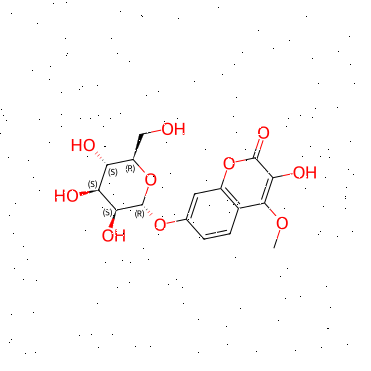 COc1c(O)c(=O)oc2cc(O[C@H]3O[C@H](CO)[C@@H](O)[C@H](O)[C@@H]3O)ccc12